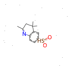 CC1=Nc2ccc([SH](=O)=O)cc2C(C)(C)C1